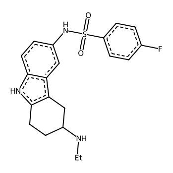 CCNC1CCc2[nH]c3ccc(NS(=O)(=O)c4ccc(F)cc4)cc3c2C1